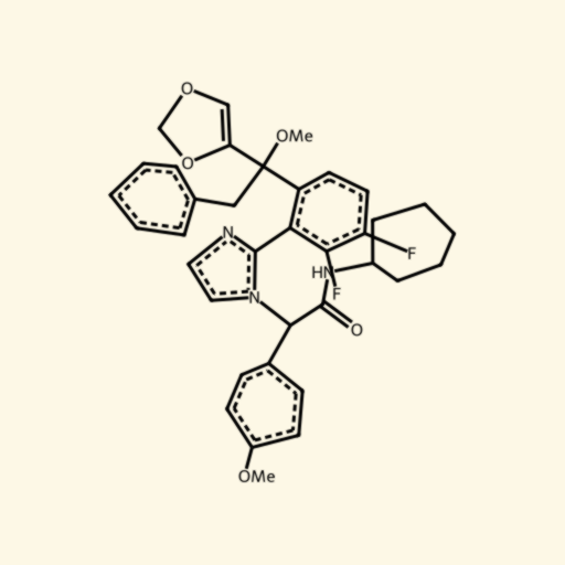 COc1ccc(C(C(=O)NC2CCCCC2)n2ccnc2-c2c(C(Cc3ccccc3)(OC)C3=COCO3)ccc(F)c2F)cc1